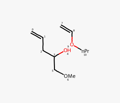 C=CCC(O)COC.C=COCCC